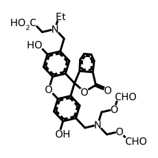 CCN(CC(=O)O)Cc1cc2c(cc1O)Oc1cc(O)c(CN(COC=O)COC=O)cc1C21OC(=O)c2ccccc21